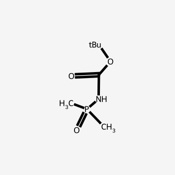 CC(C)(C)OC(=O)NP(C)(C)=O